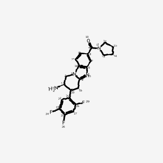 N[C@H]1Cn2c(nc3cc(C(=O)N4CCCC4)ccc32)CC1c1cc(F)c(F)cc1F